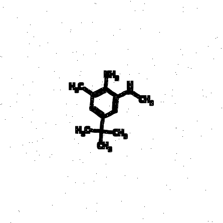 CNc1cc(C(C)(C)C)cc(C)c1N